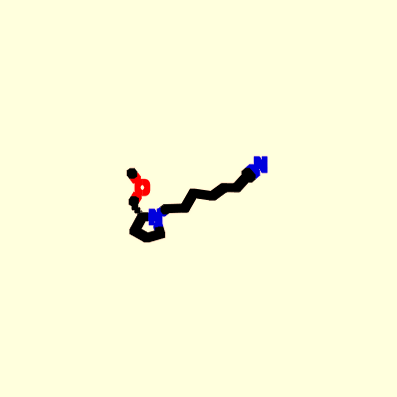 COC[C@H]1CCCN1CCCCCCC#N